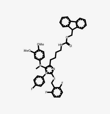 COc1ccc(N(C)c2c(CCCCNC(=O)OCC3c4ccccc4-c4ccccc43)nc(SCc3c(F)cccc3F)n2-c2ccc(F)cc2)cc1OC